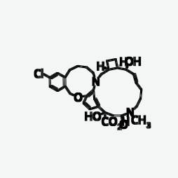 CN1CCC/C=C/[C@H](O)[C@@H]2CC[C@H]2CN2CCCCc3cc(Cl)ccc3COc3ccc(cc32)[C@](O)(C(=O)O)CC1=O